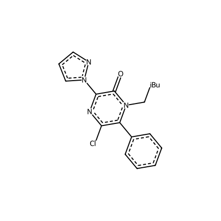 CCC(C)Cn1c(-c2ccccc2)c(Cl)nc(-n2cccn2)c1=O